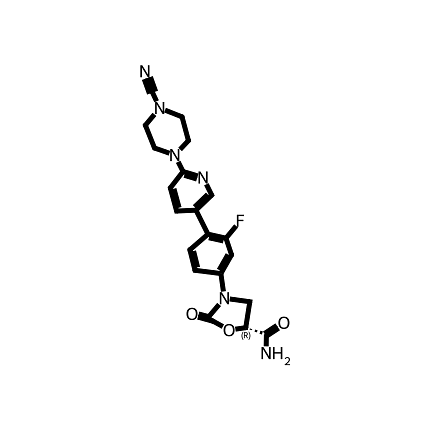 N#CN1CCN(c2ccc(-c3ccc(N4C[C@H](C(N)=O)OC4=O)cc3F)cn2)CC1